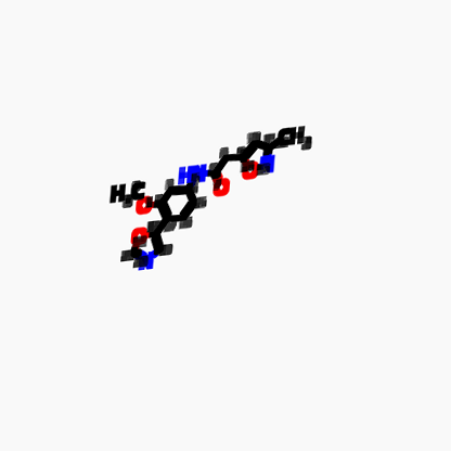 COc1cc(NC(=O)Cc2cc(C)no2)ccc1-c1cnco1